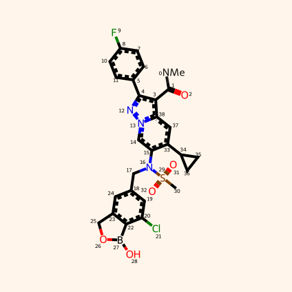 CNC(=O)c1c(-c2ccc(F)cc2)nn2cc(N(Cc3cc(Cl)c4c(c3)COB4O)S(C)(=O)=O)c(C3CC3)cc12